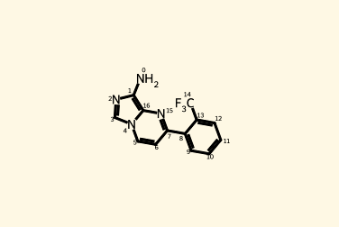 Nc1ncn2ccc(-c3ccccc3C(F)(F)F)nc12